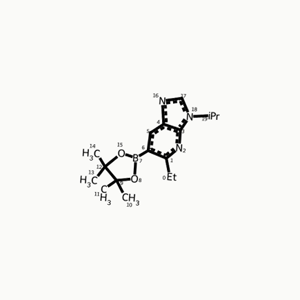 CCc1nc2c(cc1B1OC(C)(C)C(C)(C)O1)ncn2C(C)C